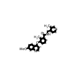 COc1ccc2c(Oc3cccc(C(=O)NCc4ccncc4C)c3C)ccnc2c1